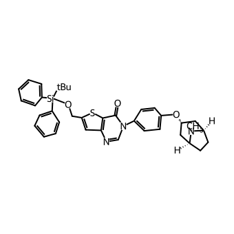 CN1[C@@H]2CC[C@H]1C[C@H](Oc1ccc(-n3cnc4cc(CO[Si](c5ccccc5)(c5ccccc5)C(C)(C)C)sc4c3=O)cc1)C2